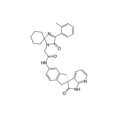 Cc1ccccc1C1=NC2(CCCCC2)N(CC(=O)Nc2ccc3c(c2)C[C@@]2(C3)C(=O)Nc3ncccc32)C1=O